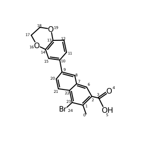 Cc1c(C(=O)O)cc2cc(-c3ccc4c(c3)OCCO4)ccc2c1Br